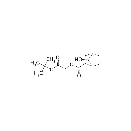 CC(C)(C)OC(=O)COC(=O)C1CC2C=CC1C2O